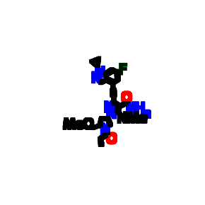 C=CC(=O)N1C[C@@H](n2nc(C#Cc3cc(F)cc4c3cnn4C3CC3)c(C(N)=O)c2NC)C[C@@H]1COC